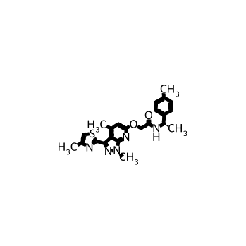 Cc1ccc([C@H](C)NC(=O)COc2cc(C)c3c(-c4nc(C)cs4)nn(C)c3n2)cc1